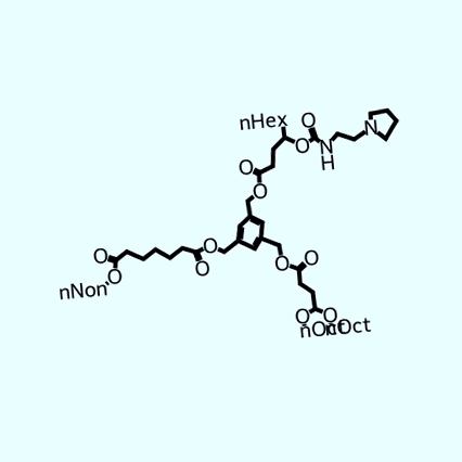 CCCCCCCCCOC(=O)CCCCCC(=O)OCc1cc(COC(=O)CCC(CCCCCC)OC(=O)NCCN2CCCC2)cc(COC(=O)CCC(OCCCCCCCC)OCCCCCCCC)c1